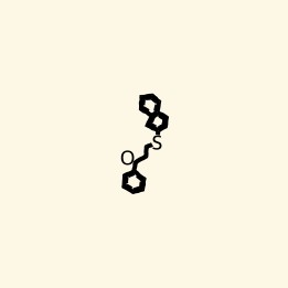 O=C(CCSc1ccc2ccccc2c1)c1ccccc1